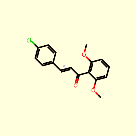 COc1cccc(OC)c1C(=O)/C=C/c1ccc(Cl)cc1